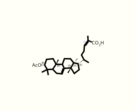 CC(=O)O[C@@H]1CC[C@]2(C)C3CC[C@@]4(C)[C@H](C(C)CC/C=C(/C)C(=O)O)CC[C@]4(C)C3=CCC2C1(C)C